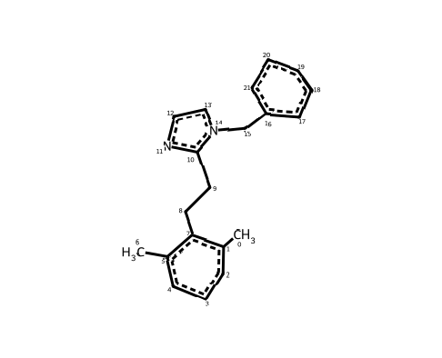 Cc1cccc(C)c1CCc1nccn1Cc1ccccc1